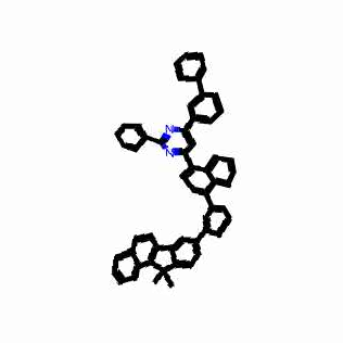 CC1(C)c2ccc(-c3cccc(-c4ccc(-c5cc(-c6cccc(-c7ccccc7)c6)nc(-c6ccccc6)n5)c5ccccc45)c3)cc2-c2ccc3ccccc3c21